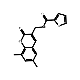 Cc1cc(C)c2[nH]c(=O)c(CNC(=O)c3ccco3)cc2c1